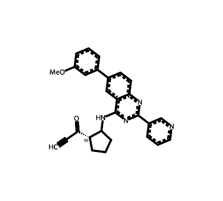 C#CC(=O)[C@H]1CCCC1Nc1nc(-c2cccnc2)nc2ccc(-c3cccc(OC)c3)cc12